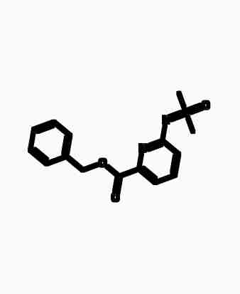 CS(C)(=O)=Nc1cccc(C(=O)OCc2ccccc2)n1